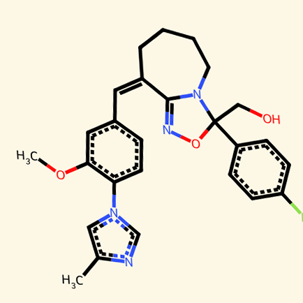 COc1cc(/C=C2/CCCCN3C2=NOC3(CO)c2ccc(F)cc2)ccc1-n1cnc(C)c1